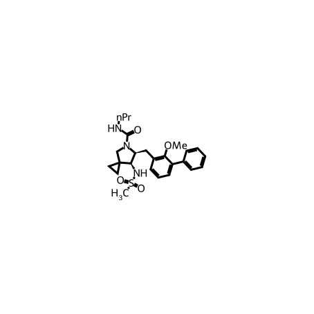 CCCNC(=O)N1CC2(CC2)[C@H](NS(C)(=O)=O)[C@@H]1Cc1cccc(-c2ccccc2)c1OC